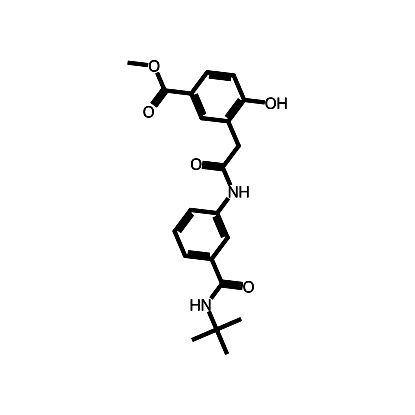 COC(=O)c1ccc(O)c(CC(=O)Nc2cccc(C(=O)NC(C)(C)C)c2)c1